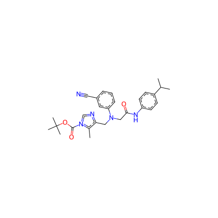 Cc1c(CN(CC(=O)Nc2ccc(C(C)C)cc2)c2cccc(C#N)c2)ncn1C(=O)OC(C)(C)C